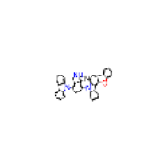 N#Cc1c(-n2c3ccccc3c3c4oc5ccccc5c4ccc32)ccc(-n2c3ccccc3c3ccccc32)c1C=N